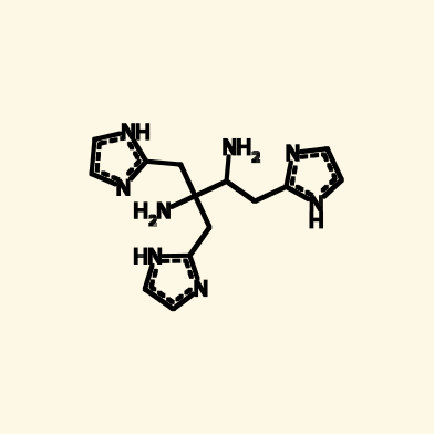 NC(Cc1ncc[nH]1)C(N)(Cc1ncc[nH]1)Cc1ncc[nH]1